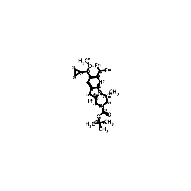 COC(c1cc2c(nc1C(F)F)N1[C@H](C2)CN(C(=O)OC(C)(C)C)C[C@H]1C)C1CC1